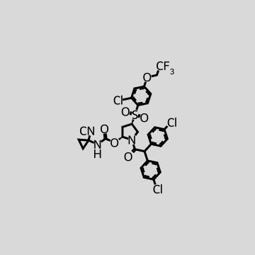 N#CC1(NC(=O)O[C@H]2C[C@@H](S(=O)(=O)c3ccc(OCC(F)(F)F)cc3Cl)CN2C(=O)C(c2ccc(Cl)cc2)c2ccc(Cl)cc2)CC1